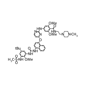 COc1cc(Nc2nccc(Oc3ccc(NC(=O)Nc4cc(C(C)(C)C)cc(NS(C)(=O)=O)c4OC)c4ccccc34)n2)cc(OC)c1C(=O)NCCN1CCN(C)CC1